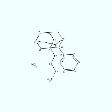 Cl.NCCCC12CC3CC(CC(C3)C1c1ccccc1)C2